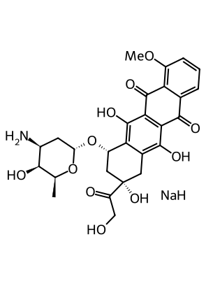 COc1cccc2c1C(=O)c1c(O)c3c(c(O)c1C2=O)C[C@@](O)(C(=O)CO)C[C@@H]3O[C@H]1C[C@H](N)[C@H](O)[C@H](C)O1.[NaH]